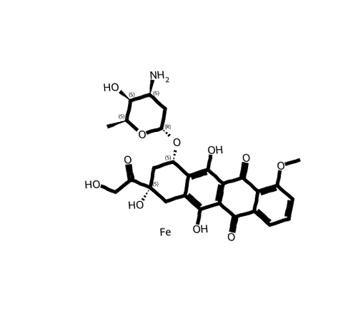 COc1cccc2c1C(=O)c1c(O)c3c(c(O)c1C2=O)C[C@@](O)(C(=O)CO)C[C@@H]3O[C@H]1C[C@H](N)[C@H](O)[C@H](C)O1.[Fe]